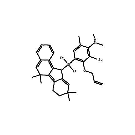 C=CCOc1c([Si](CC)(CC)C2C3=CC(C)(C)CCC3=C3C2=c2ccccc2=CC3(C)C)cc(C)c([SiH](C)C)c1C(C)(C)C